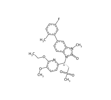 CCOc1nc([C@@H](CS(C)(=O)=O)n2c(=O)n(C)c3cc(-c4cc(F)ccc4C)ccc32)ccc1OC